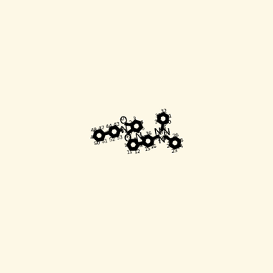 O=C1c2cccc(-n3c4ccccc4c4ccc(-c5nc(-c6ccccc6)nc(-c6ccccc6)n5)cc43)c2C(=O)N1c1ccc(-c2ccccc2)cc1